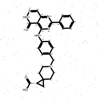 O=C(O)[C@H]1CC12CCN(Cc1ccc(Nc3nc(-c4ccccc4)nc4cn[nH]c(=O)c34)cc1)CC2